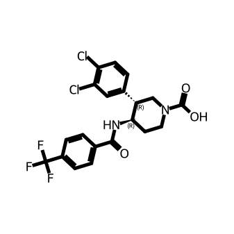 O=C(N[C@@H]1CCN(C(=O)O)C[C@H]1c1ccc(Cl)c(Cl)c1)c1ccc(C(F)(F)F)cc1